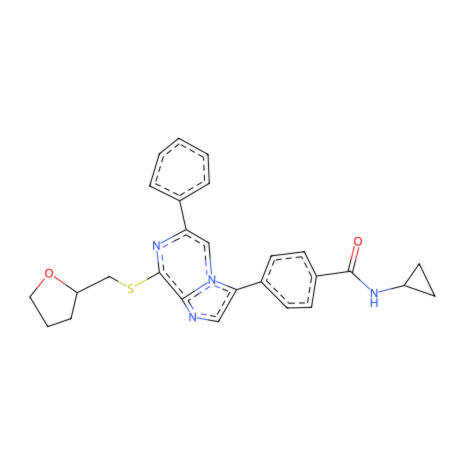 O=C(NC1CC1)c1ccc(-c2cnc3c(SCC4CCCO4)nc(-c4ccccc4)cn23)cc1